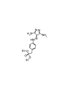 CCOP(=O)(Cc1ccc(NN=C2C(N)=NN=C2N)cc1)OCC